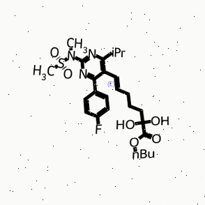 CCCCOC(=O)C(O)(O)CCC/C=C/c1c(-c2ccc(F)cc2)nc(N(C)S(C)(=O)=O)nc1C(C)C